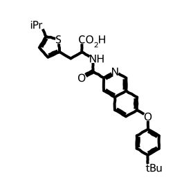 CC(C)c1ccc(CC(NC(=O)c2cc3ccc(Oc4ccc(C(C)(C)C)cc4)cc3cn2)C(=O)O)s1